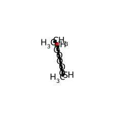 CC(C)NCCOCCOCCOCCOCCOC(C)S